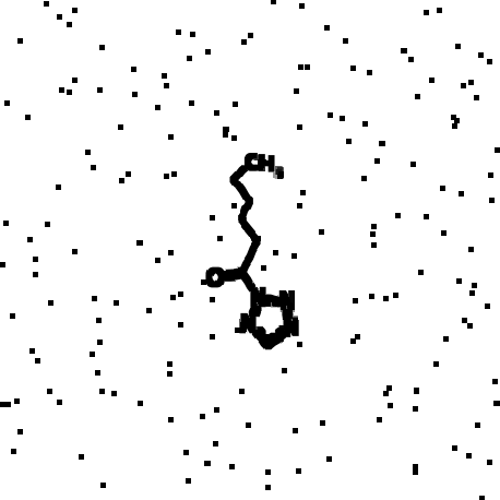 CCCCCC(=O)n1ncnn1